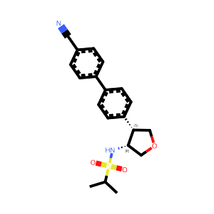 CC(C)S(=O)(=O)N[C@H]1COC[C@H]1c1ccc(-c2ccc(C#N)cc2)cc1